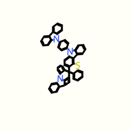 c1ccc2c(c1)Sc1c(ccc3c1c1ccccc1n3-c1ccc(-n3c4ccccc4c4ccccc43)cc1)C21c2ccccc2-n2c3ccccc3c3cccc1c32